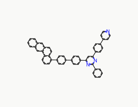 c1ccc(-c2nc(-c3ccc(-c4ccncc4)cc3)cc(-c3ccc(-c4ccc(-c5cccc6c5ccc5cc7ccccc7cc56)cc4)cc3)n2)cc1